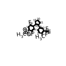 Cc1ccc(C2=C(c3cc(F)c(S(C)(=O)=O)cc3F)CC=C2)cc1C(F)(F)F